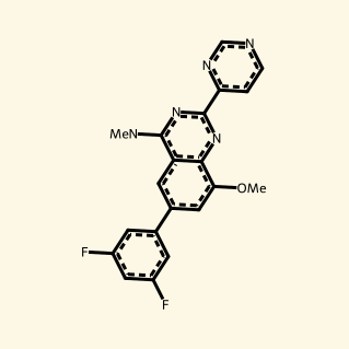 CNc1nc(-c2ccncn2)nc2c(OC)cc(-c3cc(F)cc(F)c3)cc12